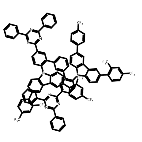 FC(F)(F)c1ccc(-c2ccc3c(c2)c2cc(-c4ccc(C(F)(F)F)cc4C(F)(F)F)ccc2n3-c2ccc(-c3nc(-c4ccccc4)nc(-c4ccccc4)n3)cc2-c2cccc(-c3cc(-c4nc(-c5ccccc5)nc(-c5ccccc5)n4)ccc3-n3c4ccc(-c5ccc(C(F)(F)F)cc5C(F)(F)F)cc4c4cc(-c5ccc(C(F)(F)F)cc5C(F)(F)F)ccc43)c2)cc1